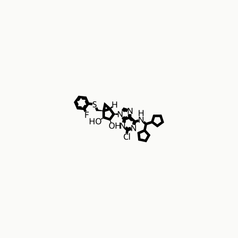 O[C@H]1[C@H](n2cnc3c(NC(C4CCCC4)C4CCCC4)nc(Cl)nc32)[C@H]2C[C@@]2(CSc2ccccc2F)[C@H]1O